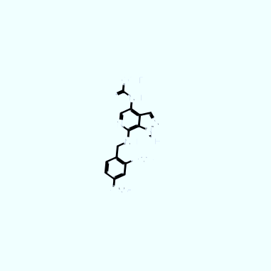 CCOC(=O)C(=O)Nc1cnc(NCc2ccc(OC)cc2OC)c2c1cnn2C